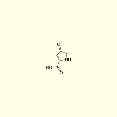 O=C1C=C(C(=O)O)NC1